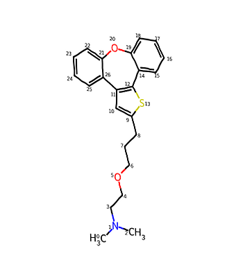 CN(C)CCOCCCc1cc2c(s1)-c1ccccc1Oc1ccccc1-2